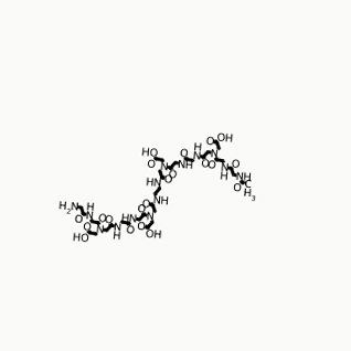 CC(=O)NCC(=O)NCC(=O)N(CC(=O)O)CC(=O)NCC(=O)NCC(=O)N(CC(=O)O)CC(=O)NCCNC(=O)CN(CC(=O)O)C(=O)CNC(=O)CNC(=O)CN(CC(=O)O)C(=O)CNC(=O)CN